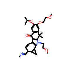 C/N=C/C1C=Cc2c3c(n(CCOC)c2C2CC12)C(C)(C)c1cc(OCCOC)c(OC(C)C)cc1C3=O